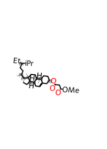 CC[C@H](CC[C@@H](C)[C@H]1CC[C@H]2[C@@H]3CC=C4C[C@@H](OC(=O)CC(=O)OC)CC[C@]4(C)[C@H]3CC[C@]12C)C(C)C